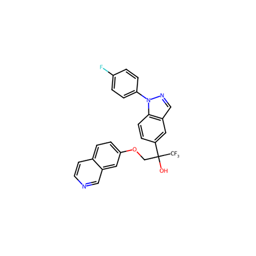 OC(COc1ccc2ccncc2c1)(c1ccc2c(cnn2-c2ccc(F)cc2)c1)C(F)(F)F